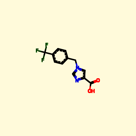 O=C(O)c1cn(Cc2ccc(C(F)(F)F)cc2)cn1